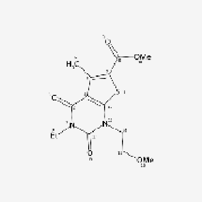 CCn1c(=O)c2c(C)c(C(=O)OC)sc2n(CCOC)c1=O